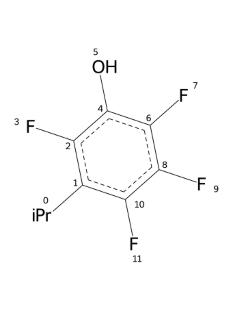 CC(C)c1c(F)c(O)c(F)c(F)c1F